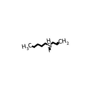 C=CC[SiH](F)CCCCC